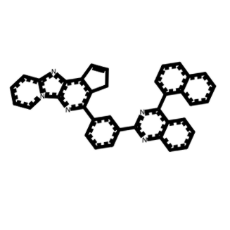 C1=Cc2c(c(-c3cccc(-c4nc(-c5cccc6ccccc56)c5ccccc5n4)c3)nc3c2nc2ccccn23)C1